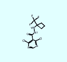 O=C(NNC1(C(F)(F)F)CCC1)c1c(Cl)ncnc1Cl